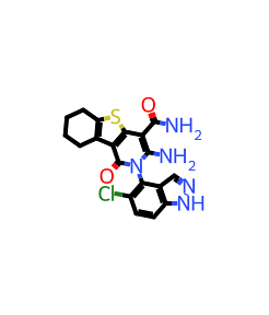 NC(=O)c1c(N)n(-c2c(Cl)ccc3[nH]ncc23)c(=O)c2c3c(sc12)CCCC3